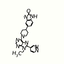 CCn1c(-c2ccnnc2)nc2c(N3CCC(c4ccc5c(c4)[N]C(=O)N5)CC3)ncnc21